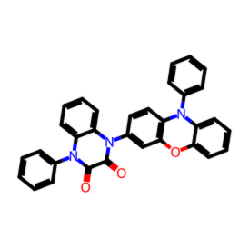 O=c1c(=O)n(-c2ccc3c(c2)Oc2ccccc2N3c2ccccc2)c2ccccc2n1-c1ccccc1